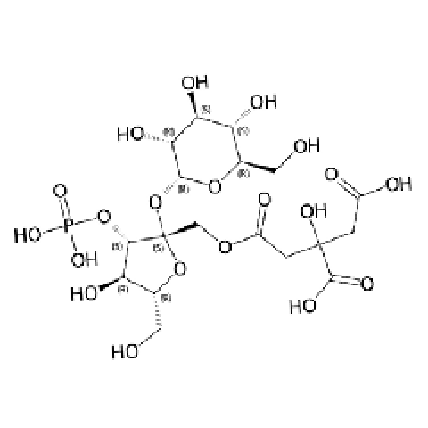 O=C(O)CC(O)(CC(=O)OC[C@@]1(O[C@H]2O[C@H](CO)[C@@H](O)[C@H](O)[C@H]2O)O[C@H](CO)[C@@H](O)[C@@H]1OP(=O)(O)O)C(=O)O